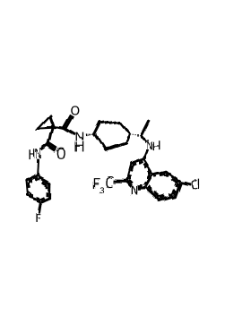 CC(Nc1cc(C(F)(F)F)nc2ccc(Cl)cc12)[C@H]1CC[C@@H](NC(=O)C2(C(=O)Nc3ccc(F)cc3)CC2)CC1